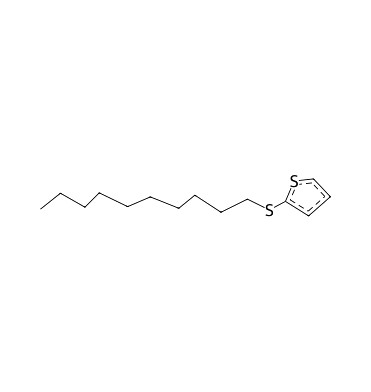 CCCCCCCCCCSc1cccs1